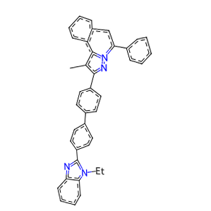 CCn1c(-c2ccc(-c3ccc(-c4nn5c(-c6ccccc6)cc6ccccc6c5c4C)cc3)cc2)nc2ccccc21